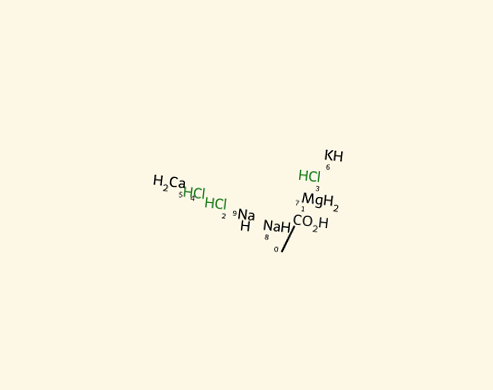 CC(=O)O.Cl.Cl.Cl.[CaH2].[KH].[MgH2].[NaH].[NaH]